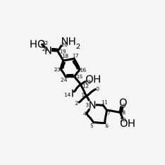 CC(C)(N1CCCC(C(=O)O)C1)C(O)(I)c1ccc(C(N)=NO)cc1